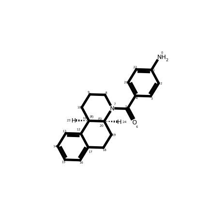 Nc1ccc(C(=O)N2CCC[C@@H]3c4ccccc4CC[C@@H]32)cc1